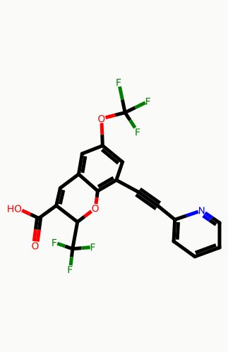 O=C(O)C1=Cc2cc(OC(F)(F)F)cc(C#Cc3ccccn3)c2OC1C(F)(F)F